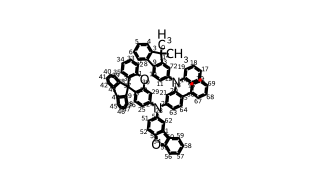 CC1(C)c2ccccc2-c2ccc(N(c3ccccc3)c3cc(N(c4ccc5c(c4)Oc4ccccc4C54c5ccccc5-c5ccccc54)c4ccc5oc6ccccc6c5c4)ccc3-c3ccccc3)cc21